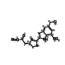 COC(=O)C[C@@H]1CSC(c2cc3cc(CCl)cc([N+](=O)[O-])c3[nH]2)=N1